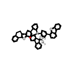 CC1(C)c2ccccc2-c2cccc(N(c3ccc(-c4cccc5c4oc4ccccc45)cc3)c3ccccc3-c3ccc4oc5c(c4c3)CCc3ccccc3-5)c21